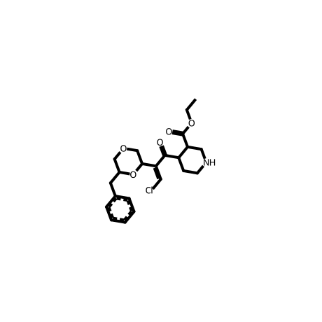 CCOC(=O)C1CNCCC1C(=O)/C(=C/Cl)C1COCC(Cc2ccccc2)O1